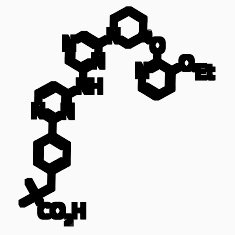 CCOc1cccnc1O[C@@H]1CCCN(c2cncc(Nc3ccnc(-c4ccc(CC(C)(C)C(=O)O)cc4)n3)n2)C1